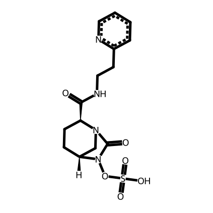 O=C(NCCc1ccccn1)[C@@H]1CC[C@@H]2CN1C(=O)N2OS(=O)(=O)O